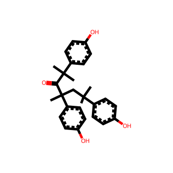 CC(C)(CC(C)(C(=O)C(C)(C)c1ccc(O)cc1)c1ccc(O)cc1)c1ccc(O)cc1